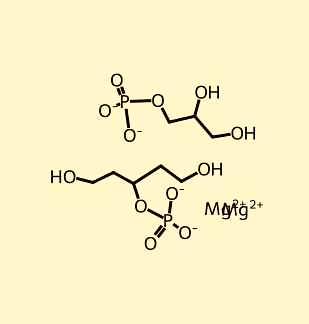 O=P([O-])([O-])OC(CCO)CCO.O=P([O-])([O-])OCC(O)CO.[Mg+2].[Mg+2]